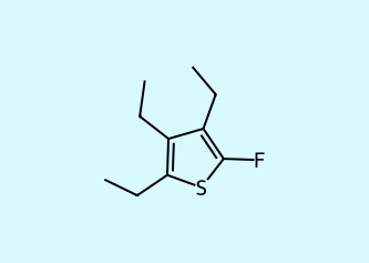 CCc1sc(F)c(CC)c1CC